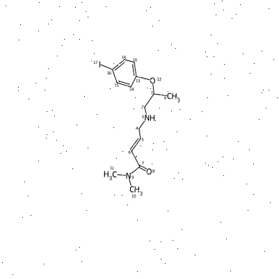 CC(CNCC=CC(=O)N(C)C)Oc1ccc(I)cc1